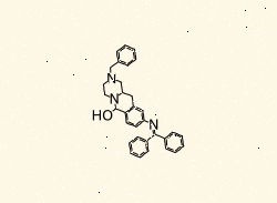 OC1c2ccc(N=C(c3ccccc3)c3ccccc3)cc2CC2CN(Cc3ccccc3)CCN21